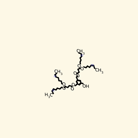 CC/C=C\CCCCOC(CCC(=O)OCc1cc(CO)cc(COC(=O)CCC(OCCCC/C=C\CC)OCCCC/C=C\CC)c1)OCCCC/C=C\CC